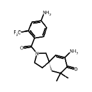 CC1(C)C[C@]2(C=C(N)C1=O)CCN(C(=O)c1ccc(N)cc1C(F)(F)F)C2